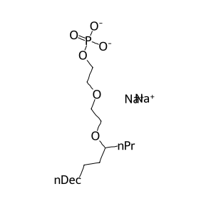 CCCCCCCCCCCCC(CCC)OCCOCCOP(=O)([O-])[O-].[Na+].[Na+]